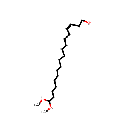 CCCCCCOC(CCCCCCCCCCCCC/C=C\CCO)OCCCCCC